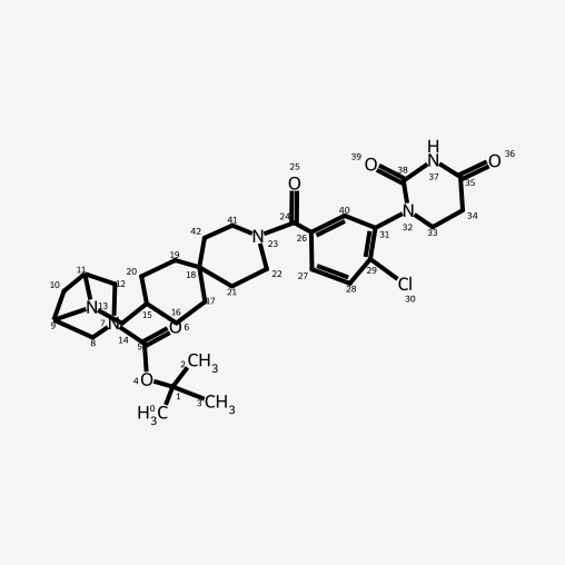 CC(C)(C)OC(=O)N1CC2CC(C1)N2CC1CCC2(CC1)CCN(C(=O)c1ccc(Cl)c(N3CCC(=O)NC3=O)c1)CC2